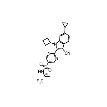 C[C@@H](NS(=O)(=O)c1cnc(-c2c(C#N)c3ccc(C4CC4)cc3n2C2CCC2)nc1)C(F)(F)F